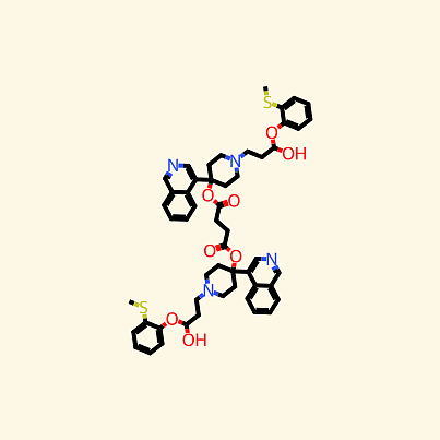 CSc1ccccc1OC(O)CCN1CCC(OC(=O)CCC(=O)OC2(c3cncc4ccccc34)CCN(CCC(O)Oc3ccccc3SC)CC2)(c2cncc3ccccc23)CC1